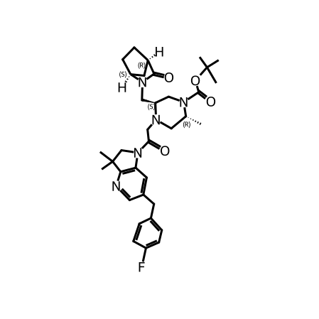 C[C@@H]1CN(CC(=O)N2CC(C)(C)c3ncc(Cc4ccc(F)cc4)cc32)[C@@H](CN2C(=O)[C@@H]3CC[C@H]2C3)CN1C(=O)OC(C)(C)C